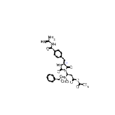 N=C(N)NC(=O)c1ccc(/C=C2\NC(=O)N(C(CC(=O)OC(=O)C(F)(F)F)N(C=O)OCc3ccccc3)C2=O)cc1